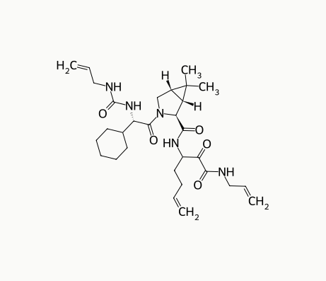 C=CCCC(NC(=O)[C@@H]1[C@@H]2[C@H](CN1C(=O)[C@@H](NC(=O)NCC=C)C1CCCCC1)C2(C)C)C(=O)C(=O)NCC=C